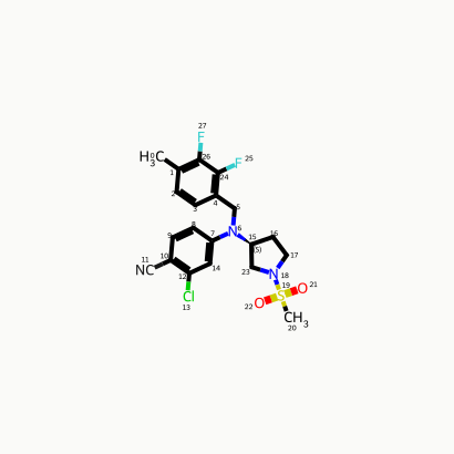 Cc1ccc(CN(c2ccc(C#N)c(Cl)c2)[C@H]2CCN(S(C)(=O)=O)C2)c(F)c1F